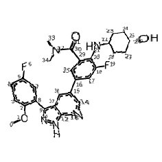 COc1ccc(F)cc1-c1n[nH]c2ncc(-c3cc(F)c(N[C@H]4CC[C@H](O)CC4)c(C(=O)N(C)C)c3)cc12